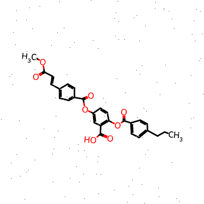 CCCc1ccc(C(=O)Oc2ccc(OC(=O)c3ccc(C=CC(=O)OC)cc3)cc2C(=O)O)cc1